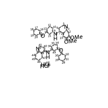 COc1cc2nccc(Nc3cccc(Oc4ccccc4)c3)c2cc1OC.Cl.Cl.c1ccc(Oc2cccc(Nc3ccnc4ccccc34)c2)cc1